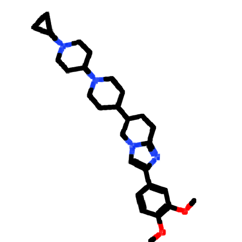 COc1ccc(-c2cn3c(n2)CCC(C2CCN(C4CCN(C5CC5)CC4)CC2)C3)cc1OC